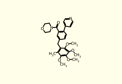 COc1c(C)c(Cc2ccc(-c3ccncc3)c(C(=O)N3CCOCC3)c2)c(OC)c(OC)c1OC